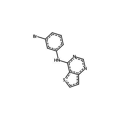 Brc1cccc(Nc2ncnc3ccsc23)c1